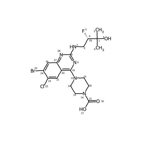 CC(C)(O)[C@@H](F)CNc1nc(N2CCN(C(=O)O)CC2)c2cc(Cl)c(Br)cc2n1